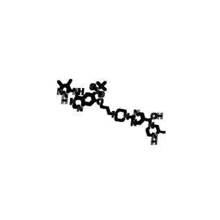 Cc1n[nH]c(Nc2ncnc3cc(OCCCN4CCN(c5ncc(C(O)N6CCN[C@H](C)C6)cn5)CC4)c(S(=O)(=O)C(C)(C)C)cc23)c1C